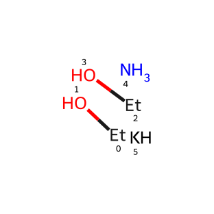 CCO.CCO.N.[KH]